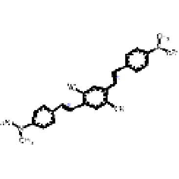 CCCN(C)c1ccc(/C=C/c2cc(C#N)c(/C=C/c3ccc(N(C)CCC)cc3)cc2C#N)cc1